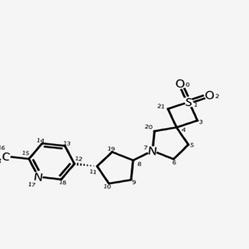 O=S1(=O)CC2(CCN(C3CC[C@H](c4ccc(C(F)(F)F)nc4)C3)C2)C1